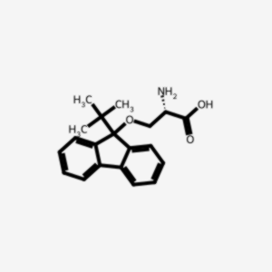 CC(C)(C)C1(OC[C@H](N)C(=O)O)c2ccccc2-c2ccccc21